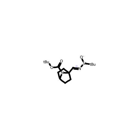 CC(C)(C)OC(=O)N1C2CCC1(/C=N/[S+]([O-])C(C)(C)C)CC2